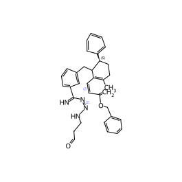 C=C(/C=C\C1=C(C)CC[C@H](c2ccccc2)C1Cc1cccc(C(=N)/N=N\NCCC=O)c1)OCc1ccccc1